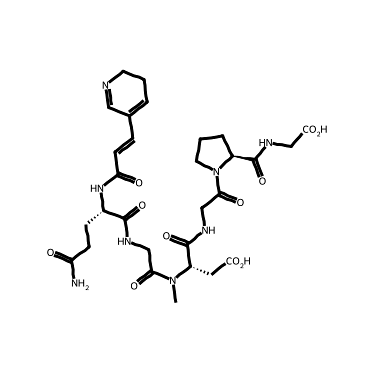 CN(C(=O)CNC(=O)[C@H](CCC(N)=O)NC(=O)/C=C/C1=CCCN=C1)[C@@H](CC(=O)O)C(=O)NCC(=O)N1CCC[C@H]1C(=O)NCC(=O)O